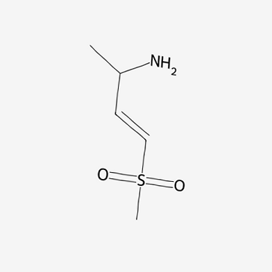 CC(N)C=CS(C)(=O)=O